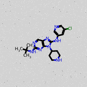 CC(C)(C)Nc1ncc2nc(Nc3cncc(Cl)c3)n(C3CCNCC3)c2n1